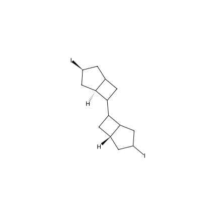 IC1CC2C(C3CC4C[C@H](I)C[C@@H]43)C[C@H]2C1